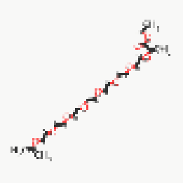 C=C(C)OCCOCCOCCOCCOCCOCCOCCOC(=C)C(=O)OCC